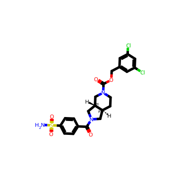 NS(=O)(=O)c1ccc(C(=O)N2C[C@@H]3CCN(C(=O)OCc4cc(Cl)cc(Cl)c4)C[C@H]3C2)cc1